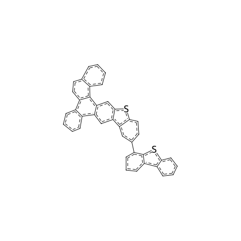 c1ccc2c(c1)ccc1c3ccccc3c3cc4c(cc3c21)sc1ccc(-c2cccc3c2sc2ccccc23)cc14